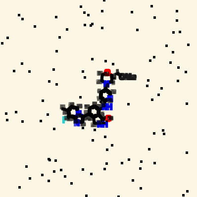 COC[C@@H]1CN(c2ccc(Nc3ccc(-c4cnc5c(F)c(C)ccn45)c4c3C(=O)NC4)nc2)CCO1